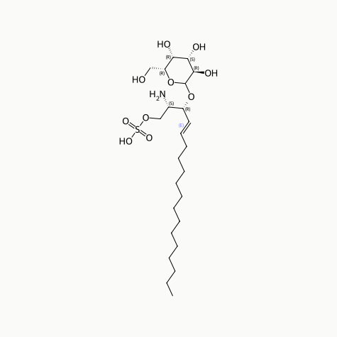 CCCCCCCCCCCCC/C=C/[C@@H](OC1O[C@H](CO)[C@H](O)[C@H](O)[C@H]1O)[C@@H](N)COS(=O)(=O)O